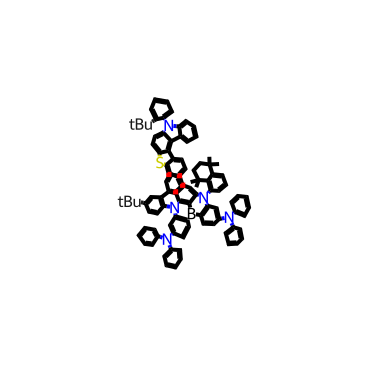 CC(C)(C)c1ccc(N2c3cc(N(c4ccccc4)c4ccccc4)ccc3B3c4ccc(N(c5ccccc5)c5ccccc5)cc4N(c4cccc5c4C(C)(C)CCC5(C)C)c4cc(-c5ccc6c(c5)sc5ccc7c(c8ccccc8n7-c7ccccc7C(C)(C)C)c56)cc2c43)c(-c2ccccc2)c1